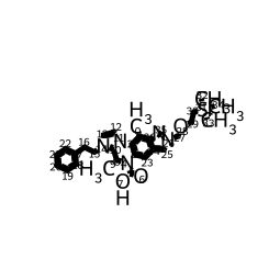 Cc1cc(N(C(=O)O)C(C)c2nccn2CCc2ccccc2)cc2cn(COCC[Si](C)(C)C)nc12